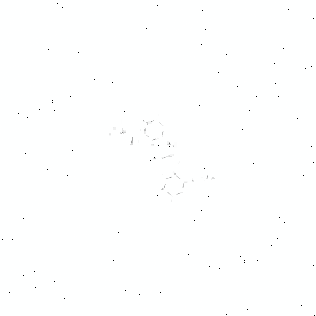 COc1ccccc1CC(=O)Nc1ccnc(C(=O)NC(C)(C)C)c1